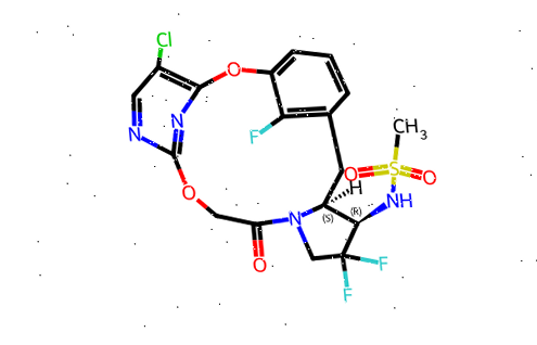 CS(=O)(=O)N[C@@H]1[C@@H]2Cc3cccc(c3F)Oc3nc(ncc3Cl)OCC(=O)N2CC1(F)F